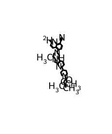 [2H]c1ccc2c(N3C[C@@H](C)N4Cc5nc(C6CCN(C(=O)OC(C)(C)C)CC6)ccc5[C@H]4C3)ccc(C#N)c2n1